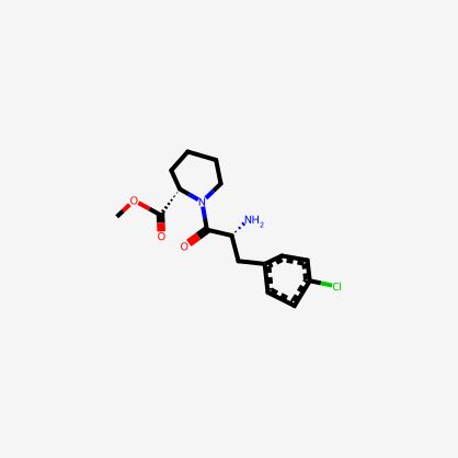 COC(=O)[C@@H]1CCCCN1C(=O)[C@H](N)Cc1ccc(Cl)cc1